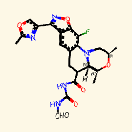 Cc1nc(-c2noc3c(F)c4c(cc23)CC(C(=O)NC(=O)NC=O)[C@H]2[C@H](C)O[C@H](C)CN42)co1